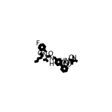 CCCCC(=O)N(Cc1ccc(F)cc1)[C@H](C(=O)NCc1ccc(-c2ccccc2S(=O)(=O)Nc2onc(C)c2C)cc1)C(C)C